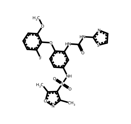 COc1cccc(F)c1Oc1ccc(NS(=O)(=O)c2c(C)noc2C)cc1NC(=O)Nc1nccs1